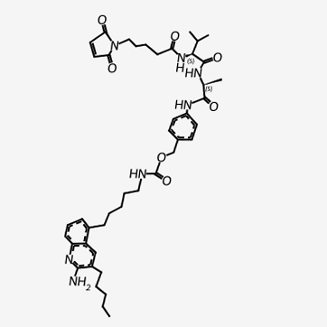 CCCCCc1cc2c(CCCCCNC(=O)OCc3ccc(NC(=O)[C@H](C)NC(=O)[C@@H](NC(=O)CCCCN4C(=O)C=CC4=O)C(C)C)cc3)cccc2nc1N